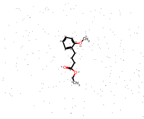 CCOC(=O)CCCc1ccccc1OC